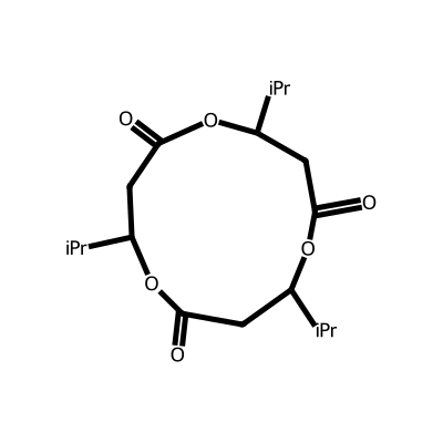 CC(C)C1CC(=O)OC(C(C)C)CC(=O)OC(C(C)C)CC(=O)O1